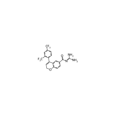 NC(N)=NC(=O)c1ccc2c(c1)C(c1ccc(C(F)(F)F)cc1C(F)(F)F)=CCO2